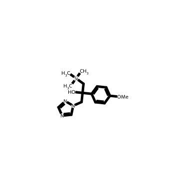 COc1ccc(C(O)(Cn2cncn2)C[Si](C)(C)C)cc1